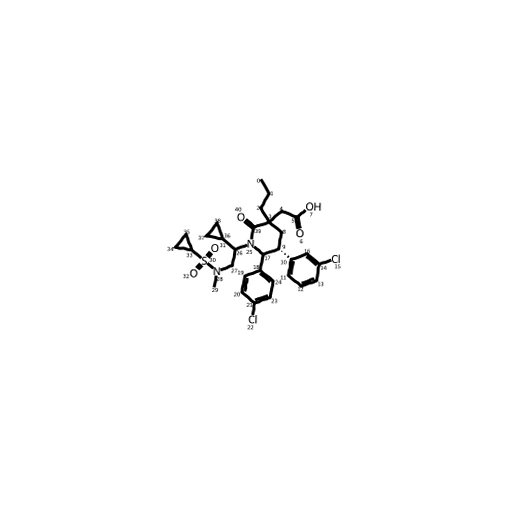 CCCC1(CC(=O)O)C[C@H](c2cccc(Cl)c2)C(c2ccc(Cl)cc2)N(C(CN(C)S(=O)(=O)C2CC2)C2CC2)C1=O